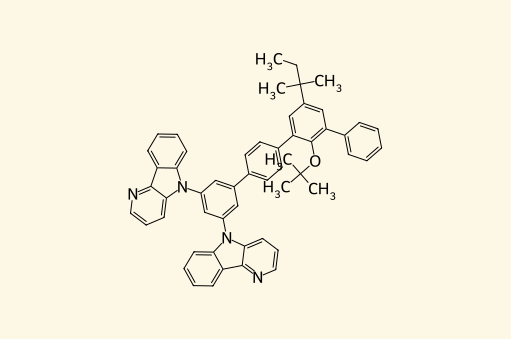 CCC(C)(C)c1cc(-c2ccccc2)c(OC(C)(C)C)c(-c2ccc(-c3cc(-n4c5ccccc5c5ncccc54)cc(-n4c5ccccc5c5ncccc54)c3)cc2)c1